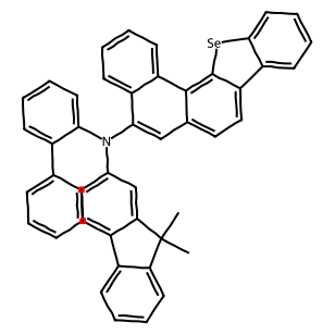 CC1(C)c2ccccc2-c2ccc(N(c3ccccc3-c3ccccc3)c3cc4ccc5c6ccccc6[se]c5c4c4ccccc34)cc21